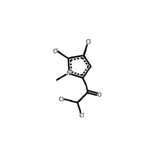 Cn1c(C(=O)C(Cl)Cl)cc(Cl)c1Cl